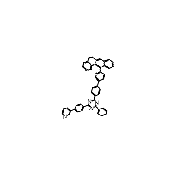 c1ccc(-c2nc(-c3ccc(-c4ccc(-c5c6ccccc6cc6ccc7ccccc7c56)cc4)cc3)nc(-c3ccc(-c4cccnc4)cc3)n2)cc1